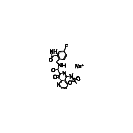 CN(c1nc(C(=O)NCc2ccc(F)cc2C(N)=O)c([O-])c2ncccc12)S(C)(=O)=O.[Na+]